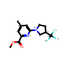 COC(=O)c1cc(C)cc(N2CCC(C(F)(F)F)C2)n1